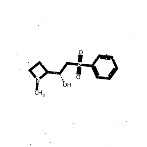 CN1CCC1[C@@H](O)CS(=O)(=O)c1ccccc1